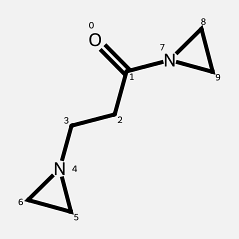 O=C(CCN1CC1)N1CC1